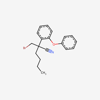 CCCCC(C#N)(CBr)c1ccccc1Oc1ccccc1